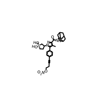 Cc1c(C(=O)NC23CC4CC(CC(C4)C2)C3)nn(C2CCS(O)(O)C2)c1-c1ccc(C#CCCO[N+](=O)[O-])cc1